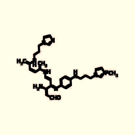 C=C(/C=C\C(=C)NCCCn1ccnc1)N/C=C/C(=N\c1ccc(NCCCn2cc[n+](C)c2)cc1)C(/N)=C\C=O